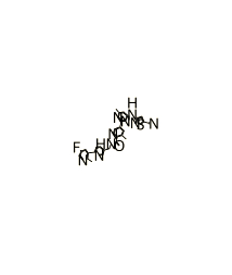 Cc1cc(Nc2cc(C#N)sn2)nc(-c2cnc(C(=O)NCc3ccc(-c4cc(F)cnc4C)nc3)c(C)c2)n1